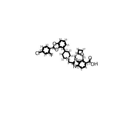 O=C(O)c1ccc2nc(CN3CCC(c4cccc5c4O[C@@H](c4ccc(Cl)cc4F)O5)CC3)n(C[C@@H]3CCO3)c2c1F